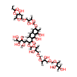 CCC(=O)O[C@H]1C(O)C[C@H](OC[C@H](O)C(C)OCOc2cc3cc4c(c(O)c3c(O)c2C)C(=O)[C@@H](OC(C)OC(C)[C@@H](O)COCOC(C)[C@H](O)COCOC(C)[C@@H](O)C(C)(C)O)[C@H]([C@H](OC)C(=O)[C@@H](O)[C@@H](C)O)C4)OC1C